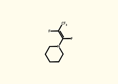 F/C(=C(/F)C(F)(F)F)N1CCCCC1